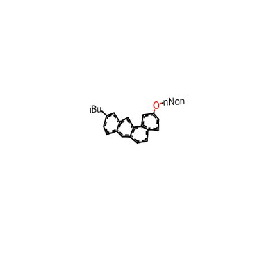 CCCCCCCCCOc1ccc2ccc3cc4ccc(C(C)CC)cc4cc3c2c1